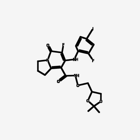 CC1(C)OCC(CONC(=O)c2c(Nc3ccc(I)cc3F)c(F)c(=O)n3c2CCC3)O1